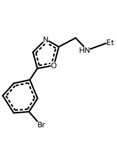 CCNCc1ncc(-c2cccc(Br)c2)o1